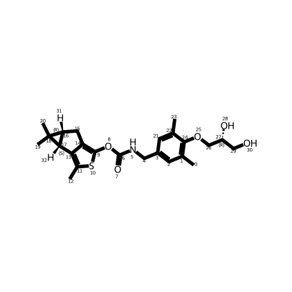 Cc1cc(CNC(=O)Oc2sc(C)c3c2C[C@@H]2[C@H]3C2(C)C)cc(C)c1OC[C@H](O)CO